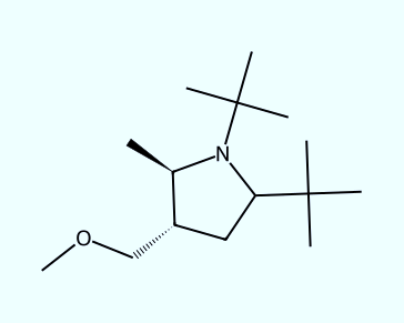 COC[C@H]1CC(C(C)(C)C)N(C(C)(C)C)[C@@H]1C